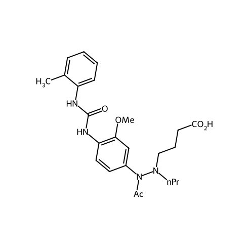 CCCN(CCCC(=O)O)N(C(C)=O)c1ccc(NC(=O)Nc2ccccc2C)c(OC)c1